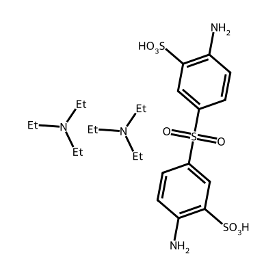 CCN(CC)CC.CCN(CC)CC.Nc1ccc(S(=O)(=O)c2ccc(N)c(S(=O)(=O)O)c2)cc1S(=O)(=O)O